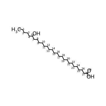 CCCCCC(O)CCCCCCCCCCCCCCCCCCCCCC(=O)O